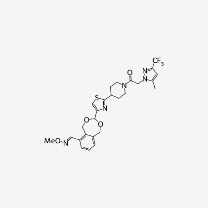 CON=Cc1cccc2c1COC(c1csc(C3CCN(C(=O)Cn4nc(C(F)(F)F)cc4C)CC3)n1)OC2